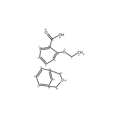 CCOc1cccnc1C(=O)O.c1cc2cc(c1)COC2